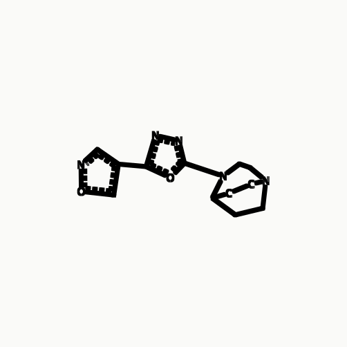 c1nocc1-c1nnc(N2CCN3CCC2CC3)o1